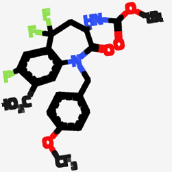 CC(C)(C)OC(=O)N[C@H]1CC(F)(F)c2cc(F)c(C(=O)O)cc2N(Cc2ccc(OC(F)(F)F)cc2)C1=O